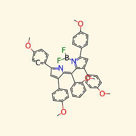 COc1ccc(C2=CC(c3ccc(OC)cc3)=N/C2=C(/c2ccccc2OC)c2c(-c3ccc(OC)cc3)cc(-c3ccc(OC)cc3)n2B(F)F)cc1